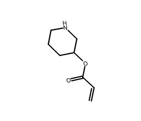 C=CC(=O)OC1CCCNC1